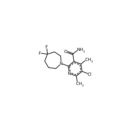 Cc1nc(N2CCCC(F)(F)CC2)c(C(N)=O)c(C)c1Cl